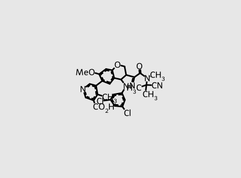 COc1cc2c(cc1-c1cncc(C(=O)O)c1C)C1C(CO2)C(C(=O)N(C)C(C)(C)C#N)=NN1c1cc(Cl)cc(Cl)c1